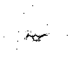 O=C=C1CC(C(=O)O)CN1